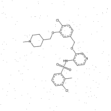 Cc1c(Cl)cccc1S(=O)(=O)Nc1ccncc1OCc1ccc(Cl)c(OCC2CCN(C)CC2)c1